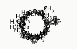 CCCOC[C@H]1C(=O)N(C)CC(=O)N[C@@H](CCc2ccc(C(F)(F)F)c(Cl)c2)C(=O)N2CCC[C@H]2C(=O)NC2(CCCC2)C(=O)N(C)[C@@H](C2CCCCC2)C(=O)N(C)[C@H](C(=O)N2CCCCC2)CC(=O)N(C)[C@@H](CC(C)C)C(=O)N[C@@H]([C@@H](C)CC)C(=O)N(C)CC(=O)N(C)CC(=O)N1C